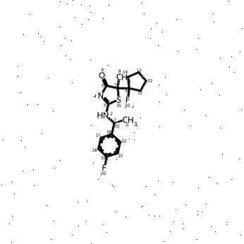 C[C@H](NC1=NC(=O)C(C)(C2(F)CCCC2)S1)c1ccc(F)cc1